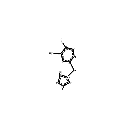 Fc1ccc(Cn2cncn2)cc1F